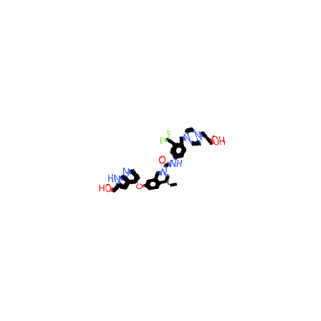 CC[C@H]1CN(C(=O)Nc2ccc(CN3CCN(CCO)CC3)c(C(F)F)c2)Cc2cc(Oc3ccnc4[nH]c(CO)cc34)ccc21